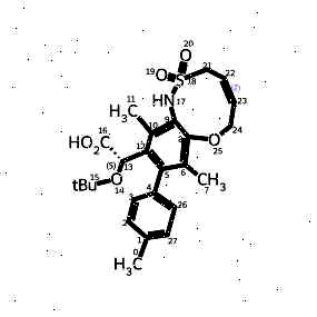 Cc1ccc(-c2c(C)c3c(c(C)c2[C@H](OC(C)(C)C)C(=O)O)NS(=O)(=O)C/C=C\CO3)cc1